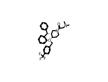 CN(C)CC(=O)N1CC[C@H](OCc2ccc(C(F)(F)F)cc2)[C@H](C(c2ccccc2)c2ccccc2)C1